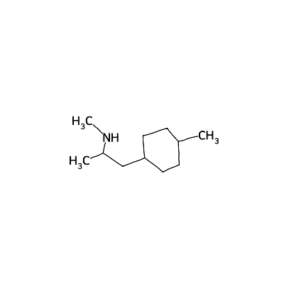 CNC(C)CC1CCC(C)CC1